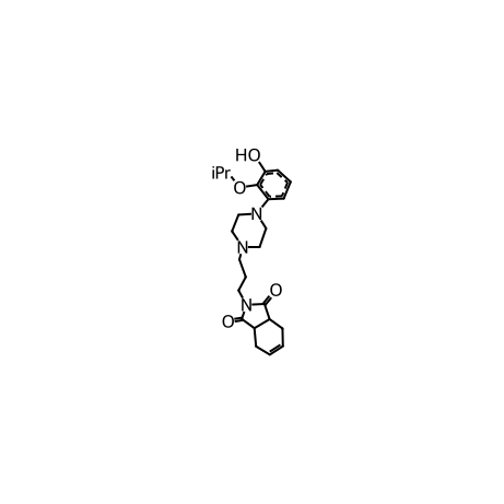 CC(C)Oc1c(O)cccc1N1CCN(CCCN2C(=O)C3CC=CCC3C2=O)CC1